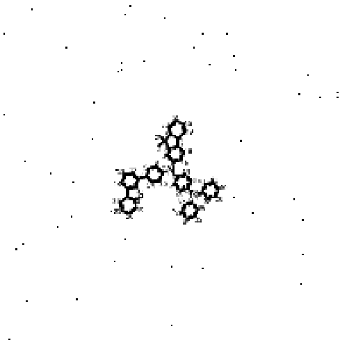 CC1(C)c2cc(N(c3ccc(-c4cccc5c4SC4C=CC=CC54)cc3)c3ccc(N(c4ccccc4)c4ccccc4)cc3)ccc2C2C=CC=CC21